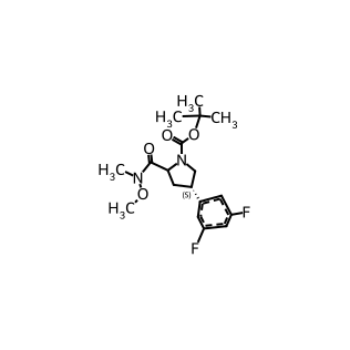 CON(C)C(=O)C1C[C@@H](c2cc(F)cc(F)c2)CN1C(=O)OC(C)(C)C